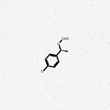 C[C@H](OC=O)c1ccc(Cl)cc1